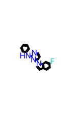 Fc1ccc2ccn(-c3ccnc(Nc4ccccc4)n3)c2c1